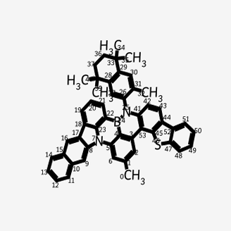 Cc1cc2c3c(c1)-n1c4cc5ccccc5cc4c4cccc(c41)B3N(c1cc3c(cc1C)C(C)(C)CCC3(C)C)c1ccc3c(sc4ccccc43)c1-2